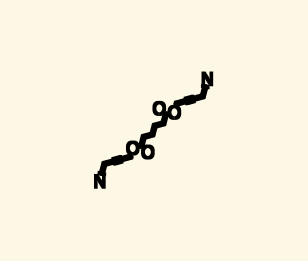 N#CCC#CCOC(=O)CCCCC(=O)OCC#CCC#N